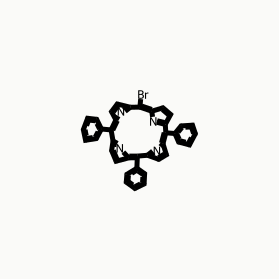 BrC1=C2C=CC(=N2)C(c2ccccc2)=C2C=CC(=N2)C(c2ccccc2)=C2C=CC(=N2)C(c2ccccc2)=C2C=CC1=N2